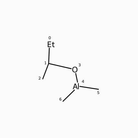 CCC(C)[O][Al]([CH3])[CH3]